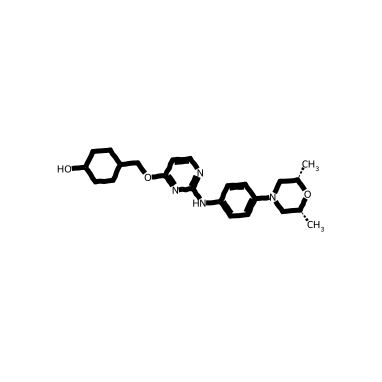 C[C@@H]1CN(c2ccc(Nc3nccc(OCC4CCC(O)CC4)n3)cc2)C[C@H](C)O1